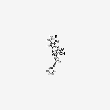 O=C(O)[C@H](Cc1c[nH]c2c(F)c(F)c(F)c(F)c12)NS(=O)(=O)c1ccc(C#Cc2ccccc2)s1